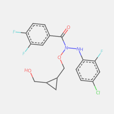 O=C(c1ccc(F)c(F)c1)N(Nc1ccc(Cl)cc1F)OCC1CC1CO